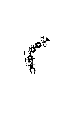 [2H]C([2H])(C1CCOCC1)N1C[C@H]2CC(Nc3ccc(-c4ccc(NC(=O)C5CC5)cc4)nn3)C[C@H]2C1